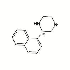 c1ccc2c([C@H]3C[N]CCN3)cccc2c1